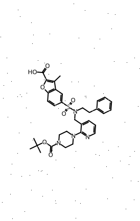 Cc1c(C(=O)O)oc2ccc(S(=O)(=O)N(CCc3ccccc3)Cc3cccnc3N3CCN(C(=O)OC(C)(C)C)CC3)cc12